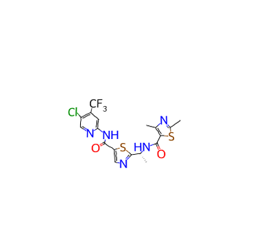 Cc1nc(C)c(C(=O)N[C@H](C)c2ncc(C(=O)Nc3cc(C(F)(F)F)c(Cl)cn3)s2)s1